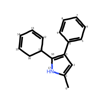 Cc1cc(-c2ccccc2)c(C2C=CC=CC2)[nH]1